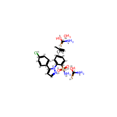 C.C#CC.NC(O)=S.NC(O)=S.NS(=O)(=O)c1ccccc1-n1nccc1-c1ccc(Cl)cc1.O